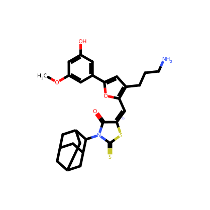 COc1cc(O)cc(-c2cc(CCCN)c(/C=C3/SC(=S)N(C4C5CC6CC(C5)CC4C6)C3=O)o2)c1